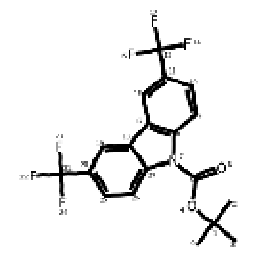 CC(C)(C)OC(=O)n1c2ccc(C(F)(F)F)cc2c2cc(C(F)(F)F)ccc21